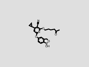 CC(=O)CCCCOc1nc(Oc2ccc3c(c2)COB3O)cc(C2CC2)c1C#N